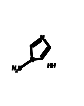 Bn1ccnc1.[HH]